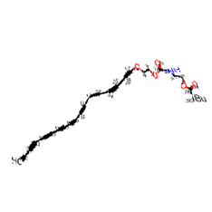 C#CC#CC#CC#CC#CC#CC#CC#CC#COCCOC(=O)NCCOC(=O)C(C)CC